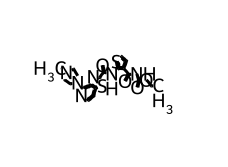 CCOC(=O)NC(=O)c1ccsc1NC(=O)c1nc2c(N3CCN(C)CC3)nccc2s1